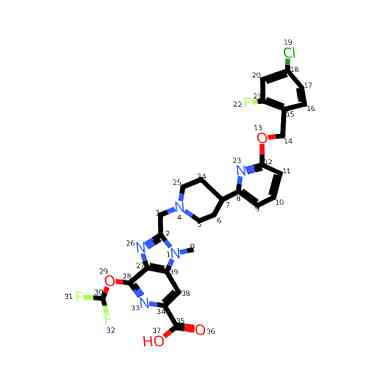 Cn1c(CN2CCC(c3cccc(OCc4ccc(Cl)cc4F)n3)CC2)nc2c(OC(F)F)nc(C(=O)O)cc21